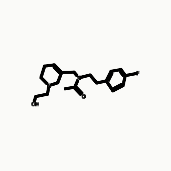 CC(=O)N(CCc1ccc(F)cc1)CC1=CCCN(CCO)C1